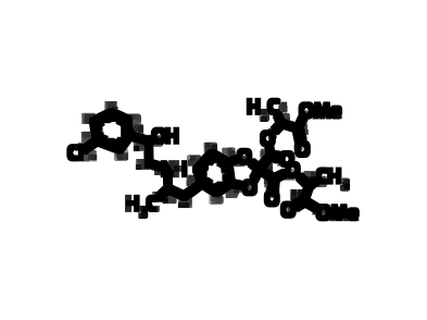 COC(=O)C(C)OC(=O)C1(C(=O)OC(C)C(=O)OC)Oc2ccc(CC(C)NCC(O)c3cccc(Cl)c3)cc2O1